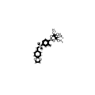 CC1(C)OB(c2ccc(S(=O)(=O)CC3CCC4(CC3)OCCO4)cc2F)OC1(C)C